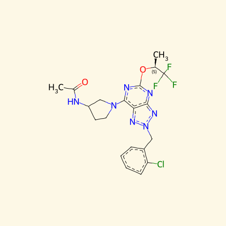 CC(=O)NC1CCN(c2nc(O[C@@H](C)C(F)(F)F)nc3nn(Cc4ccccc4Cl)nc23)C1